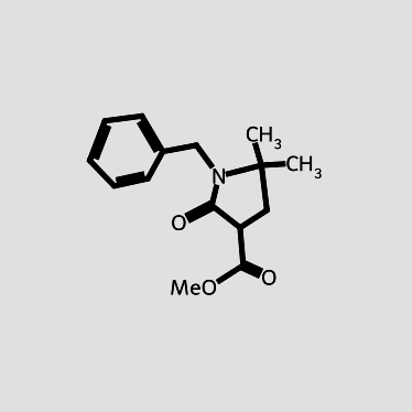 COC(=O)C1CC(C)(C)N(Cc2ccccc2)C1=O